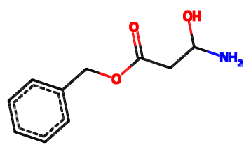 NC(O)CC(=O)OCc1ccccc1